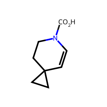 O=C(O)N1C=CC2(CC1)CC2